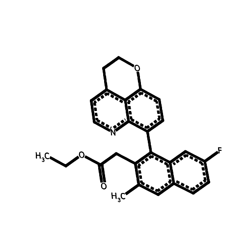 CCOC(=O)Cc1c(C)cc2ccc(F)cc2c1-c1ccc2c3c(ccnc13)CCO2